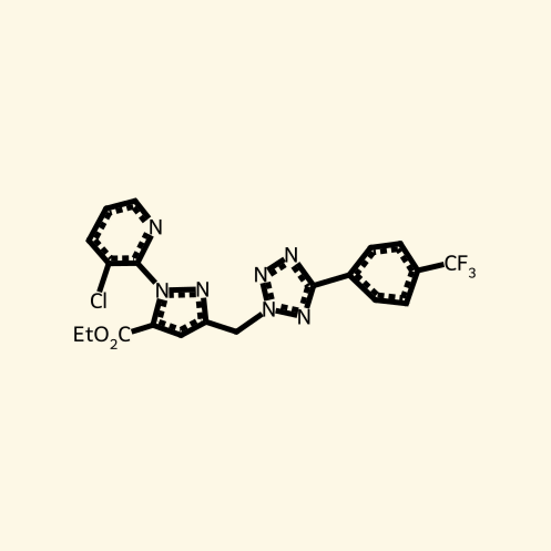 CCOC(=O)c1cc(Cn2nnc(-c3ccc(C(F)(F)F)cc3)n2)nn1-c1ncccc1Cl